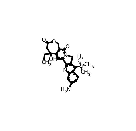 CCC1(O)CC(=O)OCc2c1cc1n(c2=O)Cc2c-1nc1cc(N)ccc1c2[Si](C)(C)C